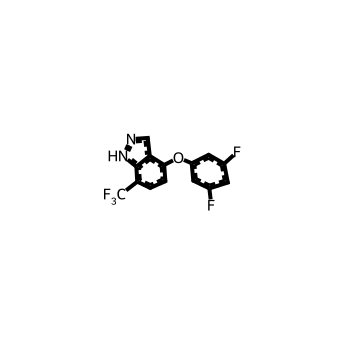 Fc1cc(F)cc(Oc2ccc(C(F)(F)F)c3[nH]ncc23)c1